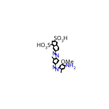 COc1cc(/N=N\c2ccc(/N=N/c3ccc4cc(S(=O)(=O)O)cc(S(=O)(=O)O)c4c3)c(C)c2)c(C)cc1N